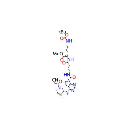 COC(=O)[C@H](CCCCNC(=O)OC(C)(C)C)NC(=O)CCCNC(=O)n1ccc2c(N(C)C3CN(C(=O)CC#N)CC[C@H]3C)ncnc21